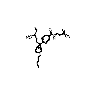 CCCCCc1ccc2c(c1)C2(CCC(O)CC)c1ccc(C(=O)NCCC(=O)O)cc1